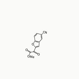 COC(=O)C(=O)c1cc2cc(C#N)ccc2o1